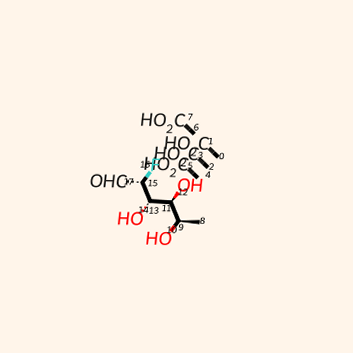 CC(=O)O.CC(=O)O.CC(=O)O.CC(=O)O.C[C@@H](O)[C@H](O)[C@H](O)[C@@H](F)C=O